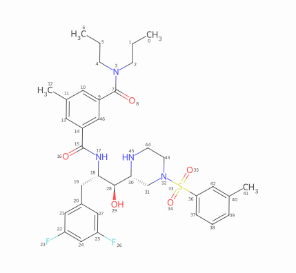 CCCN(CCC)C(=O)c1cc(C)cc(C(=O)N[C@@H](Cc2cc(F)cc(F)c2)[C@H](O)[C@H]2CN(S(=O)(=O)c3cccc(C)c3)CCN2)c1